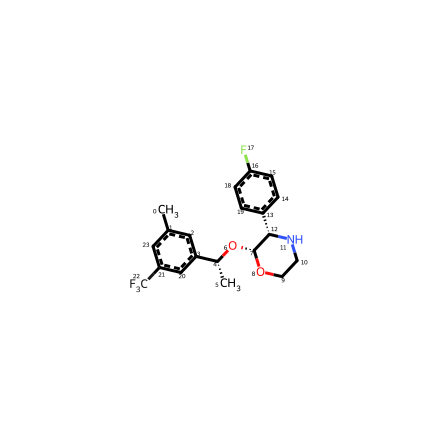 Cc1cc([C@@H](C)O[C@H]2OCCN[C@H]2c2ccc(F)cc2)cc(C(F)(F)F)c1